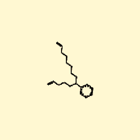 C=CCCCCCCC(CCCC=C)c1ccccc1